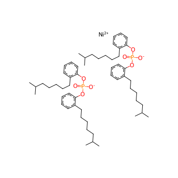 CC(C)CCCCCc1ccccc1OP(=O)([O-])Oc1ccccc1CCCCCC(C)C.CC(C)CCCCCc1ccccc1OP(=O)([O-])Oc1ccccc1CCCCCC(C)C.[Ni+2]